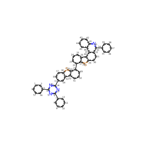 c1ccc(-c2nc(-c3ccccc3)nc(-c3ccc4sc5c(-c6cccc7c6sc6ccc8c(-c9ccccc9)nc9ccccc9c8c67)cccc5c4c3)n2)cc1